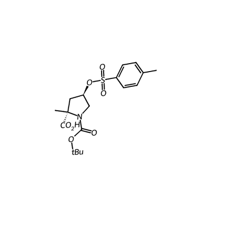 Cc1ccc(S(=O)(=O)O[C@H]2CN(C(=O)OC(C)(C)C)[C@](C)(C(=O)O)C2)cc1